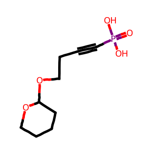 O=P(O)(O)C#CCCOC1CCCCO1